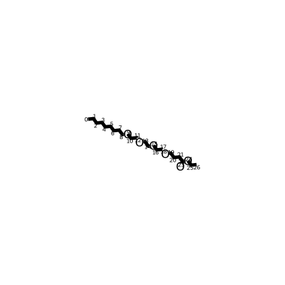 CCCCCCCCCOCCOCCOCCOCCCC(=O)OCC